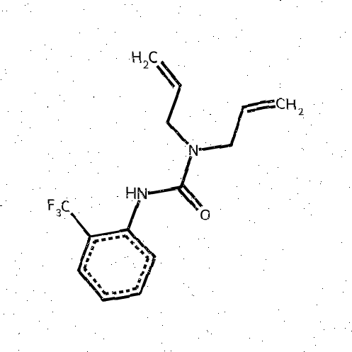 C=CCN(CC=C)C(=O)Nc1ccccc1C(F)(F)F